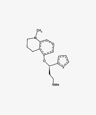 CNCC[C@@H](Oc1cccc2c1CCCN2C)c1cccs1